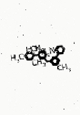 Cc1cc(Cc2ccc(N)c(-c3c(C)cc(C)cc3C)c2)cc(-c2ccccc2N)c1